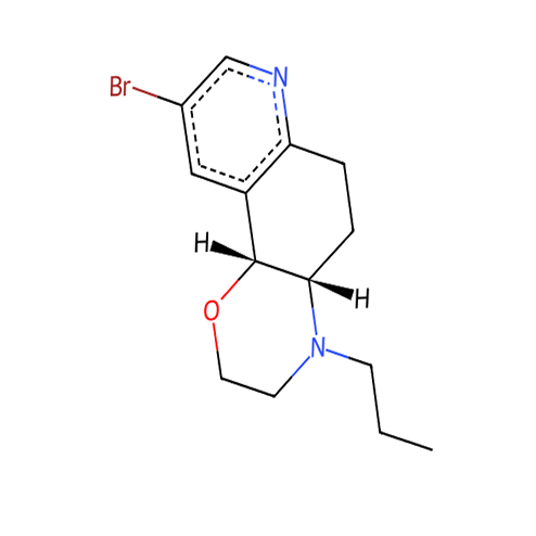 CCCN1CCO[C@@H]2c3cc(Br)cnc3CC[C@@H]21